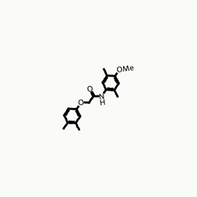 COc1cc(C)c(NC(=O)COc2ccc(C)c(C)c2)cc1C